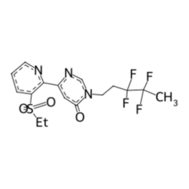 CCS(=O)(=O)c1cccnc1-c1cc(=O)n(CCC(F)(F)C(C)(F)F)cn1